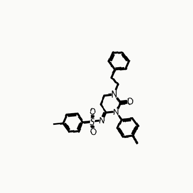 Cc1ccc(N2C(=O)N(CCc3ccccc3)CCC2=NS(=O)(=O)c2ccc(C)cc2)cc1